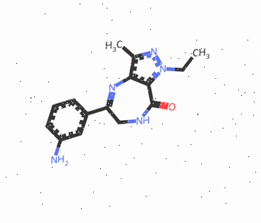 CCn1nc(C)c2c1C(=O)NCC(c1cccc(N)c1)=N2